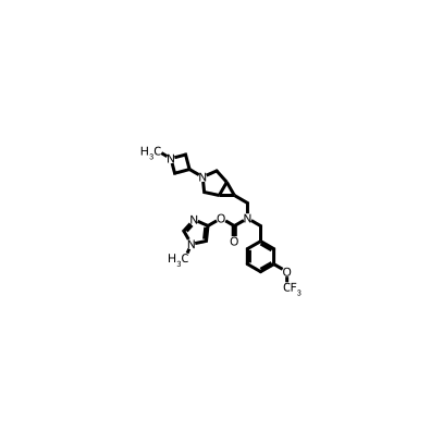 CN1CC(N2CC3C(CN(Cc4cccc(OC(F)(F)F)c4)C(=O)Oc4cn(C)cn4)C3C2)C1